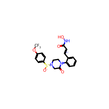 O=C(/C=C/c1ccccc1N1CCN([S+]([O-])c2ccc(OC(F)(F)F)cc2)CC1=O)NO